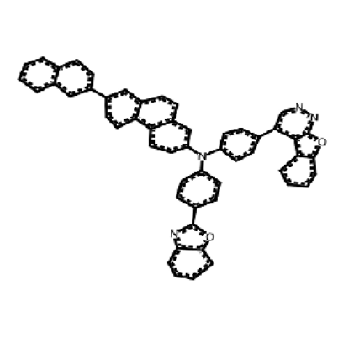 c1ccc2cc(-c3ccc4c(ccc5cc(N(c6ccc(-c7nc8ccccc8o7)cc6)c6ccc(-c7cnnc8oc9ccccc9c78)cc6)ccc54)c3)ccc2c1